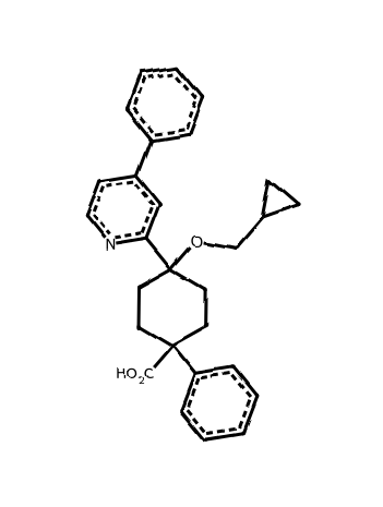 O=C(O)C1(c2ccccc2)CCC(OCC2CC2)(c2cc(-c3ccccc3)ccn2)CC1